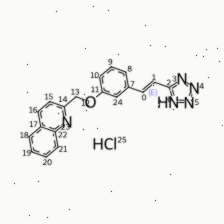 C(=C\c1nnn[nH]1)/c1cccc(OCc2ccc3ccccc3n2)c1.Cl